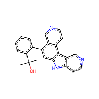 CC(C)(O)c1ccccc1-c1cc2[nH]c3ccncc3c2c2ccncc12